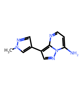 Cn1cc(-c2cnn3c(N)ccnc23)cn1